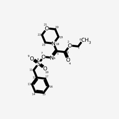 CCOC(=O)/C(=N/OS(=O)(=O)Cc1ccccc1)N1CCOCC1